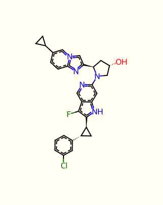 O[C@H]1C[C@H](c2cn3cc(C4CC4)ccc3n2)N(c2cc3[nH]c([C@H]4C[C@@H]4c4cccc(Cl)c4)c(F)c3cn2)C1